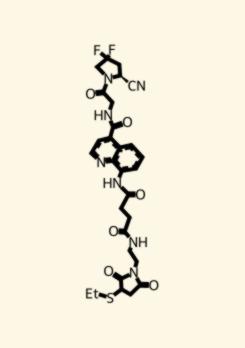 CCSC1CC(=O)N(CCNC(=O)CCC(=O)Nc2cccc3c(C(=O)NCC(=O)N4CC(F)(F)C[C@H]4C#N)ccnc23)C1=O